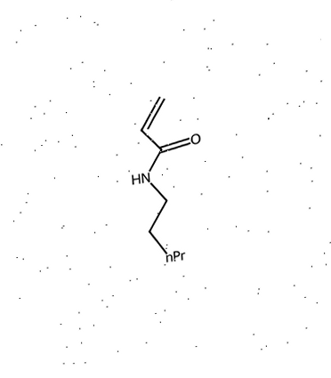 [CH2]CCCCNC(=O)C=C